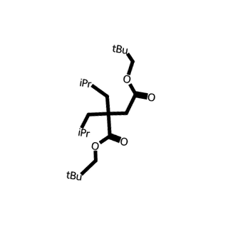 CC(C)CC(CC(=O)OCC(C)(C)C)(CC(C)C)C(=O)OCC(C)(C)C